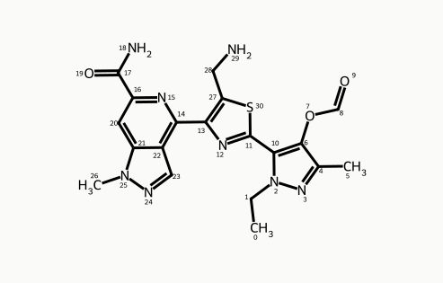 CCn1nc(C)c(OC=O)c1-c1nc(-c2nc(C(N)=O)cc3c2cnn3C)c(CN)s1